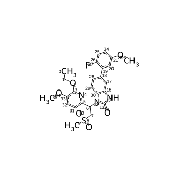 CCOc1nc(C(CS(C)(=O)=O)n2c(=O)[nH]c3cc(-c4cc(OC)ccc4F)ccc32)ccc1OC